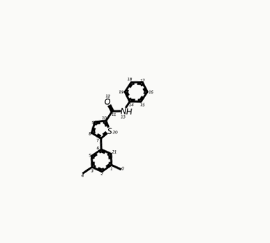 Cc1cc(C)cc(-c2ccc(C(=O)Nc3ccccc3)s2)c1